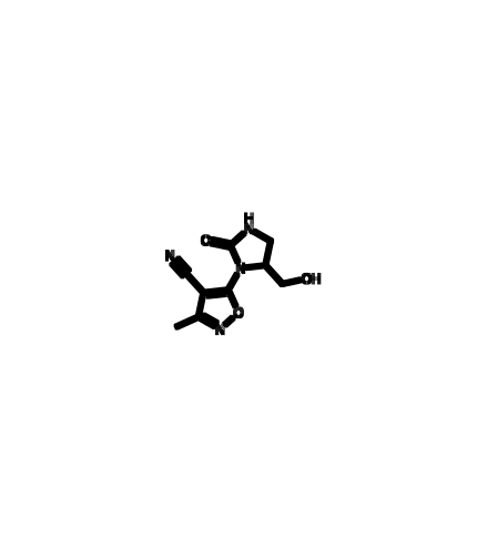 Cc1noc(N2C(=O)NCC2CO)c1C#N